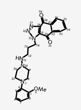 COc1ccccc1N1CCN(NCCCn2nnc3c2C(=O)c2ccccc2C3=O)CC1